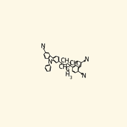 CC(C)(CCC(C)(C)c1ccc(C#N)c2cc(C#N)ccc12)c1ccc2c3cc(C#N)ccc3n(-c3ccccc3)c2c1